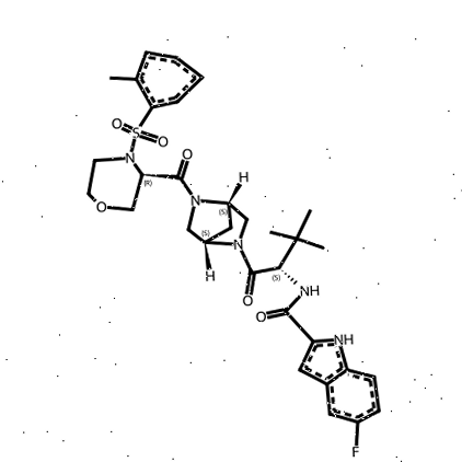 Cc1ccccc1S(=O)(=O)N1CCOC[C@@H]1C(=O)N1C[C@@H]2C[C@H]1CN2C(=O)[C@@H](NC(=O)c1cc2cc(F)ccc2[nH]1)C(C)(C)C